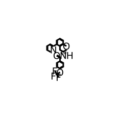 O=C(N[C@@H]1COc2cccc(-c3ccccn3)c2C1)c1ccc(OC(F)(F)F)cc1